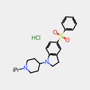 CC(C)N1CCC(N2CCc3cc(S(=O)(=O)c4ccccc4)ccc32)CC1.Cl